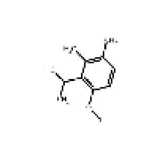 Cc1ccc(OI)c(C(C)C)c1C